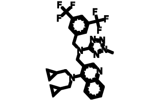 Cn1nnc(N(Cc2cc(C(F)(F)F)cc(C(F)(F)F)c2)Cc2cnc3ccccc3c2N(CC2CC2)CC2CC2)n1